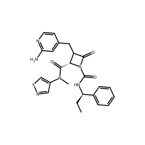 CC[C@@H](NC(=O)N1C(=O)C(Cc2ccnc(N)c2)[C@H]1C(=O)N(C)c1cnsc1)c1ccccc1